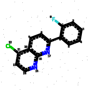 Fc1ccccc1-c1ccc2c(Cl)ccnc2n1